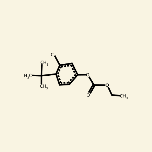 CCOC(=O)Oc1ccc(C(C)(C)C)c(Cl)c1